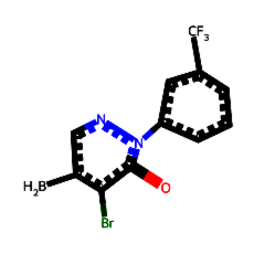 Bc1cnn(-c2cccc(C(F)(F)F)c2)c(=O)c1Br